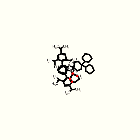 CC(C)c1cc(C(C)C)c(-c2ccccc2PC2(P(c3ccccc3-c3c(C(C)C)cc(C(C)C)cc3C(C)C)C3CCCCC3)CCC(C3CCCCC3)(C3CCCCC3)CC2)c(C(C)C)c1